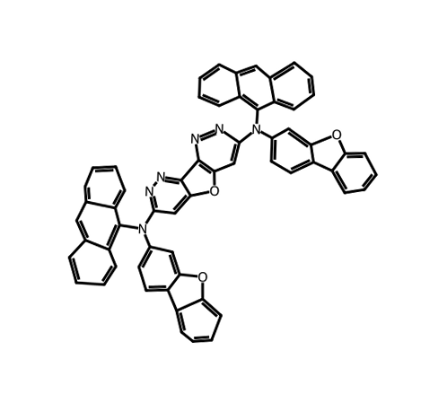 c1ccc2c(N(c3ccc4c(c3)oc3ccccc34)c3cc4oc5cc(N(c6ccc7c(c6)oc6ccccc67)c6c7ccccc7cc7ccccc67)nnc5c4nn3)c3ccccc3cc2c1